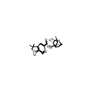 CC1(C)COc2cnc(C(=O)N[C@@H]3C4CCN(CC4)[C@@]3(C)I)cc21